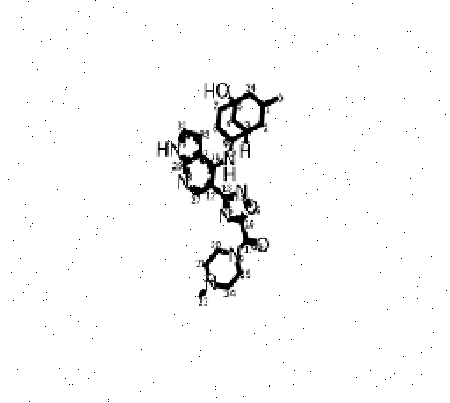 CC1C[C@H]2C[C@](O)(CC[C@@H]2Nc2c(-c3noc(C(=O)N4CCN(C)CC4)n3)cnc3[nH]ccc23)C1